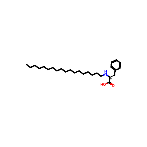 CCCCCCCCCCCCCCCCCCN[C@@H](Cc1ccccc1)C(=O)O